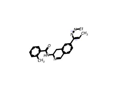 C/C=C(\N=N/CC)c1ccc2c(c1)CC(NC(=O)c1ccccc1C)N=C2